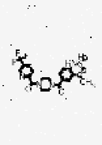 COc1cc(C(=O)N2CCN(C(=O)c3ccc(C(F)(F)F)cn3)CC2)ccc1N[SH](=O)=O